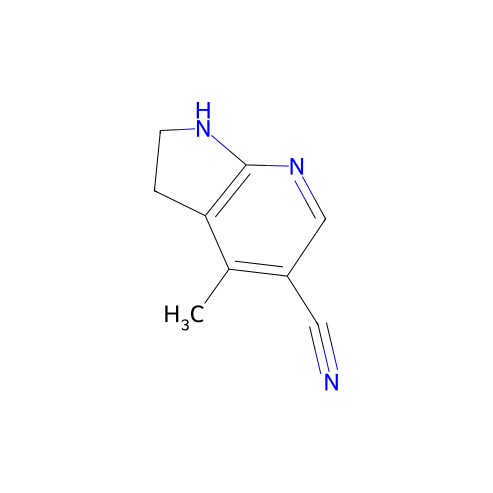 Cc1c(C#N)cnc2c1CCN2